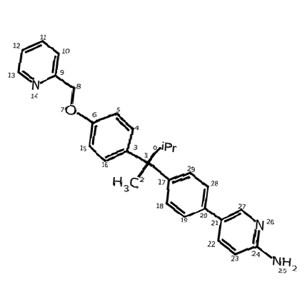 CC(C)C(C)(c1ccc(OCc2ccccn2)cc1)c1ccc(-c2ccc(N)nc2)cc1